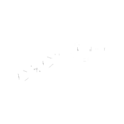 CCCCCC(CC)C(=O)OCCOc1ccc(/N=N/c2ccccc2)cc1